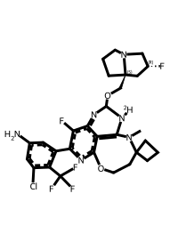 [2H]N1C2=c3c(nc(-c4cc(N)cc(Cl)c4C(F)(F)F)c(F)c3=NC1OC[C@@]13CCCN1C[C@H](F)C3)OCCC1(CCC1)N2C